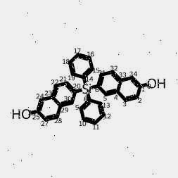 Oc1ccc2cc([Si](c3ccccc3)(c3ccccc3)c3ccc4cc(O)ccc4c3)ccc2c1